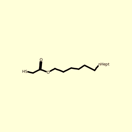 CCCCCCCCCCCCCOC(=O)CS